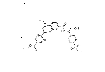 CCOC(=O)c1cnc(N2Cc3cc(C(=O)N[C@@H](CO)c4ccc(S(=O)(=O)CC)cc4)ccc3C(CC)C2)nc1